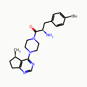 C[C@@H]1CCc2ncnc(N3CCN(C(=O)[C@H](N)Cc4ccc(C(C)(C)C)cc4)CC3)c21